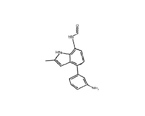 Cc1cc2c(-c3cccc(N)c3)ccc(NC=O)c2[nH]1